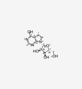 OC[C@H]1O[C@@H](n2ccc3c(O)ncnc32)[C@H](O)[C@@H]1O